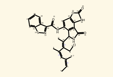 C\C=C(F)/C=C(C)\C(CCl)=C(/C)C1NC(=O)c2c1c(NC(=O)c1nsc3ccccc13)cc1oc(=O)[nH]c21